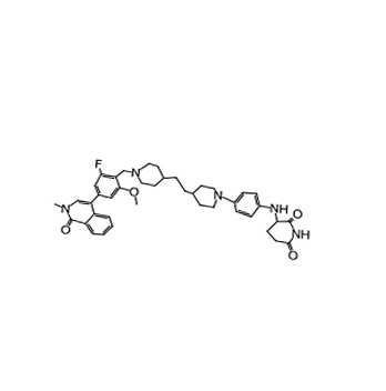 COc1cc(-c2cn(C)c(=O)c3ccccc23)cc(F)c1CN1CCC(CCC2CCN(c3ccc(NC4CCC(=O)NC4=O)cc3)CC2)CC1